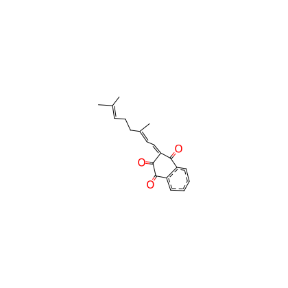 CC(C)=CCC/C(C)=C/C=C1\C(=O)C(=O)c2ccccc2C1=O